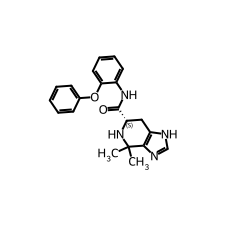 CC1(C)N[C@H](C(=O)Nc2ccccc2Oc2ccccc2)Cc2[nH]cnc21